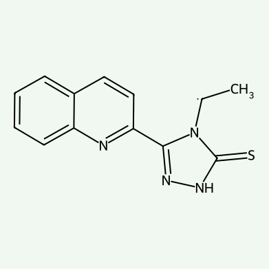 C[CH]n1c(-c2ccc3ccccc3n2)n[nH]c1=S